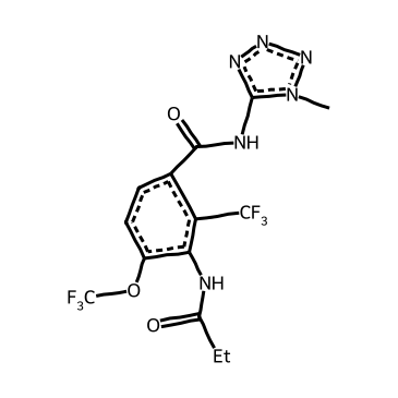 CCC(=O)Nc1c(OC(F)(F)F)ccc(C(=O)Nc2nnnn2C)c1C(F)(F)F